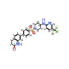 O=C1CCc2ccc(-c3ccc(S(=O)(=O)N4CCC(Nc5ccc(C(F)(F)F)cn5)CC4)cc3)cc2N1